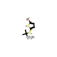 CCOC(=O)C(C)(C)Sc1ccc(Br)s1